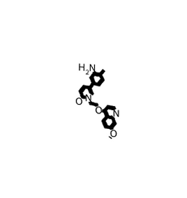 COc1ccc2c(OCCn3cc(-c4ccc(C)c(N)c4)ccc3=O)ccnc2c1